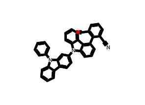 N#Cc1cccc(C#N)c1-c1cccc2c1c1ccccc1n2-c1ccc2c3ccccc3n(-c3ccccc3)c2c1